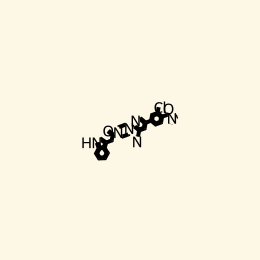 CN(C)C(=O)c1ccc(-c2cnc(N3CCN(C(=O)Cc4c[nH]c5ccccc45)CC3)c(C#N)c2)cc1Cl